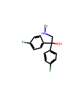 CCNCC(O)(c1ccc(F)cc1)c1ccc(F)cc1